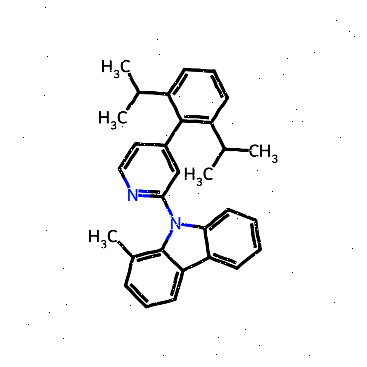 Cc1cccc2c3ccccc3n(-c3cc(-c4c(C(C)C)cccc4C(C)C)ccn3)c12